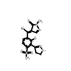 CN1N=CC(=C(Br)c2ccc(S(C)(=O)=O)c(C3=NOCC3)c2Cl)C1=O